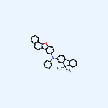 CC1(C)c2ccccc2-c2ccc(N(c3ccccc3)c3ccc4oc5c6ccccc6ccc5c4c3)cc21